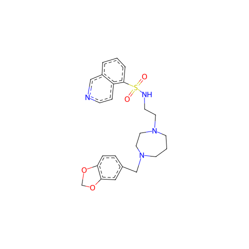 O=S(=O)(NCCN1CCCN(Cc2ccc3c(c2)OCO3)CC1)c1cccc2cnccc12